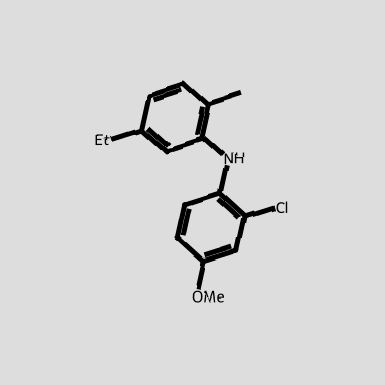 CCc1ccc(C)c(Nc2ccc(OC)cc2Cl)c1